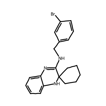 Brc1cccc(CNC2=Nc3ccccc3NC23CCCCC3)c1